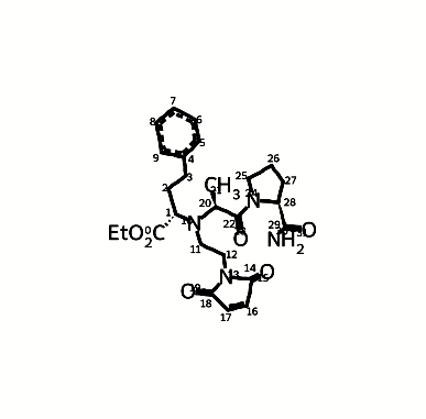 CCOC(=O)[C@H](CCc1ccccc1)N(CCN1C(=O)C=CC1=O)[C@@H](C)C(=O)N1CCC[C@H]1C(N)=O